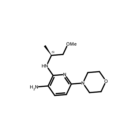 COC[C@H](C)Nc1nc(N2CCOCC2)ccc1N